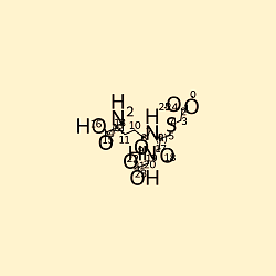 COC(CSC[C@H](NC(=O)CC[C@H](N)C(=O)O)C(=O)NCC(=O)O)OC